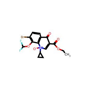 CCOC(=O)C1=C[N+]([O-])(C2CC2)c2c(ccc(Br)c2OC(F)F)C1=O